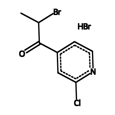 Br.CC(Br)C(=O)c1ccnc(Cl)c1